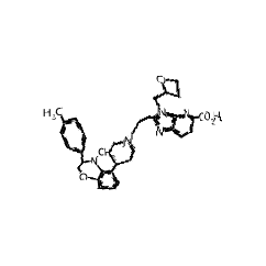 Cc1ccc(C2COc3cccc(C4CCN(Cc5nc6ccc(C(=O)O)nc6n5CC5CCO5)CC4)c3N2C)cc1